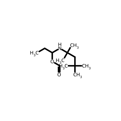 CCC(NC(C)(C)CC(C)(C)C)O[C]=O